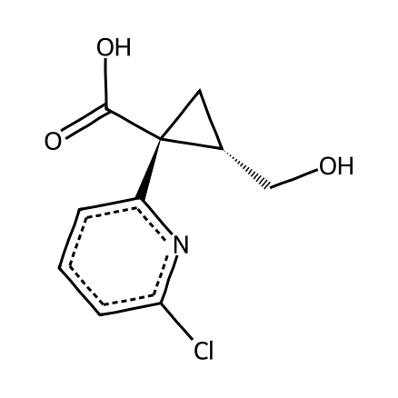 O=C(O)[C@]1(c2cccc(Cl)n2)C[C@@H]1CO